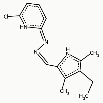 CCc1c(C)[nH]c(/C=N\N=c2\cccc(Cl)[nH]2)c1C